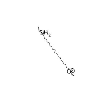 C=CC(=O)OCCCCCCCCCCCCCCCCCCCC[SiH2]CI